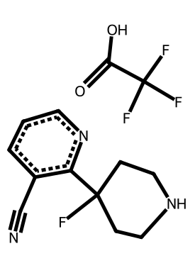 N#Cc1cccnc1C1(F)CCNCC1.O=C(O)C(F)(F)F